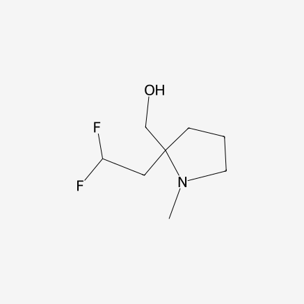 CN1CCCC1(CO)CC(F)F